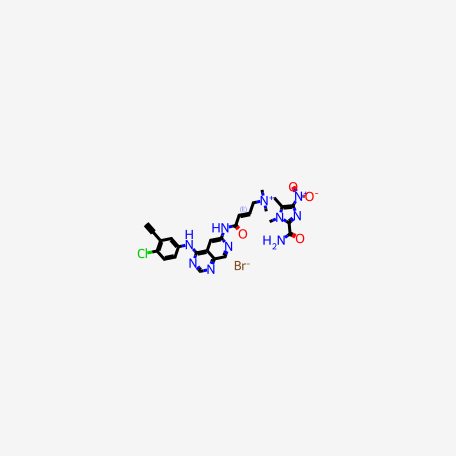 C#Cc1cc(Nc2ncnc3cnc(NC(=O)/C=C/C[N+](C)(C)Cc4c([N+](=O)[O-])nc(C(N)=O)n4C)cc23)ccc1Cl.[Br-]